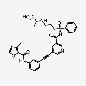 Cc1ccoc1C(=O)Nc1cccc(C#Cc2cncc(C(=O)N=S(=O)(CCCNC(C)C(=O)O)c3ccccc3)c2)c1